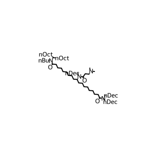 CCCCCCCCCCN(CCCCCCCCCC)C(=O)CCCCCCCCC(CCCCCCCCC(=O)N(CCCC)C(CCCCCCCC)CCCCCCCC)N(CCCCCCCCCC)C(=O)CCN(C)C